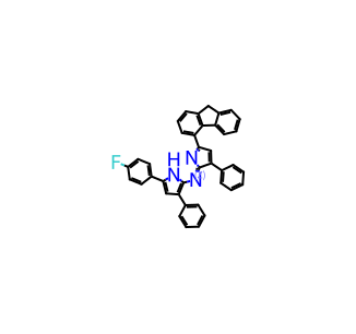 Fc1ccc(-c2cc(-c3ccccc3)c(/N=C3\N=C(c4cccc5c4-c4ccccc4C5)C=C3c3ccccc3)[nH]2)cc1